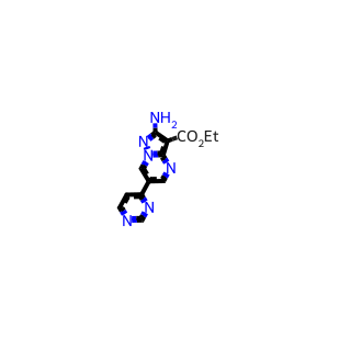 CCOC(=O)c1c(N)nn2cc(-c3ccncn3)cnc12